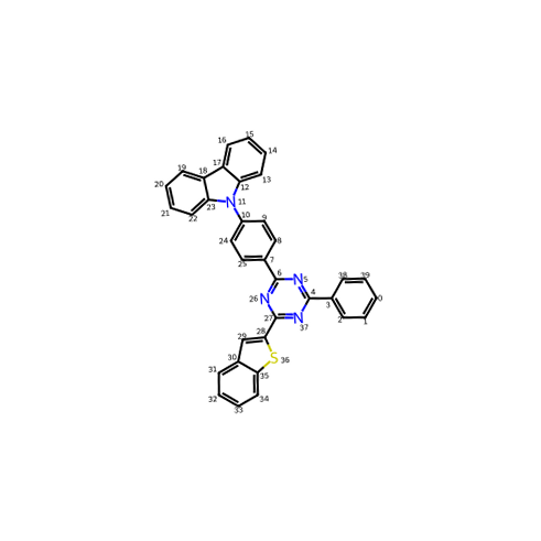 c1ccc(-c2nc(-c3ccc(-n4c5ccccc5c5ccccc54)cc3)nc(-c3cc4ccccc4s3)n2)cc1